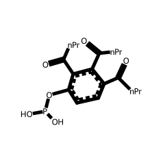 CCCC(=O)c1ccc(OP(O)O)c(C(=O)CCC)c1C(=O)CCC